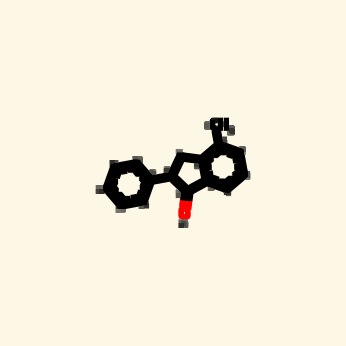 Cc1cccc2c1CC(c1ccccc1)C2=O